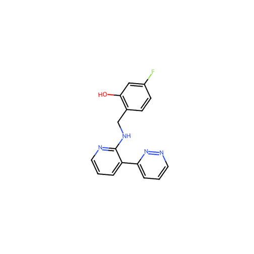 Oc1cc(F)ccc1CNc1ncccc1-c1cccnn1